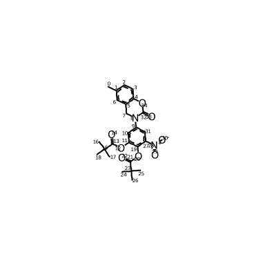 Cc1ccc2c(c1)CN(c1cc(OC(=O)C(C)(C)C)c(OC(=O)C(C)(C)C)c([N+](=O)[O-])c1)C(=O)O2